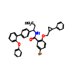 O=C(O)CC(NC(=O)c1cc(Br)ccc1OCC1CC1c1ccccc1)c1ccc(-c2ccccc2Oc2ccccc2)cc1